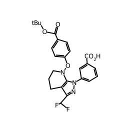 CC(C)(C)OC(=O)c1ccc(ON2CCCc3c(C(F)F)nn(-c4cccc(C(=O)O)c4)c32)cc1